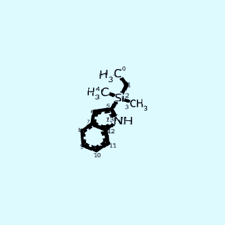 CC[Si](C)(C)c1cc2ccccc2[nH]1